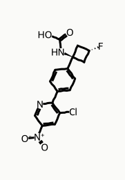 O=C(O)N[C@]1(c2ccc(-c3ncc([N+](=O)[O-])cc3Cl)cc2)C[C@@H](F)C1